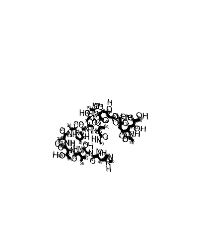 CNC(=O)[C@@H](NC(=O)[C@H](CC(=O)O)NC(=O)[C@@H]1CCCN1C(=O)[C@H](C)NC(=O)[C@H](CO)NC(=O)[C@@H](NC(=O)[C@@H](NC(=O)CNC(=O)[C@@H](N)Cc1cnc[nH]1)C(C)C)C(C)O)C(C)O[C@H]1OC(CO[C@]2(C(=O)O)CC(O)[C@@H](NC(C)=O)C([C@H](O)[C@H](O)CO)O2)[C@H](O)C(O)C1NC(C)=O